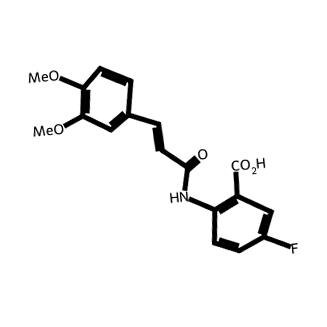 COc1ccc(C=CC(=O)Nc2ccc(F)cc2C(=O)O)cc1OC